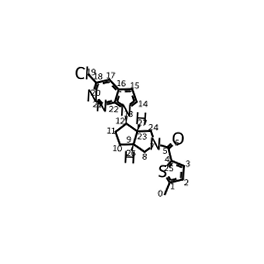 Cc1ccc(C(=O)N2C[C@@H]3CC[C@@H](n4ccc5cc(Cl)nnc54)[C@@H]3C2)s1